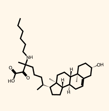 CCCCCCNC(C)(CCCC(C)[C@H]1CC[C@H]2[C@@H]3CC=C4C[C@@H](O)CC[C@]4(C)[C@H]3CC[C@]12C)C(=O)C(=O)O